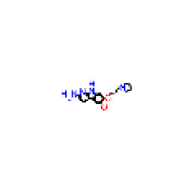 COc1cc2c(cc1OCCCN1CCCC1)[nH]c1nc(N)ccc12